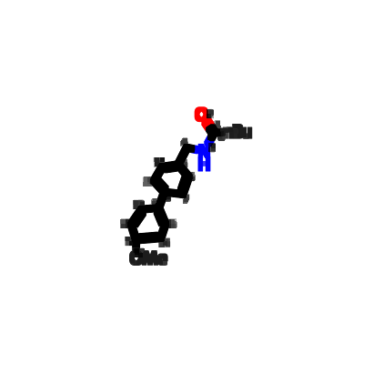 CCCCC(=O)NCc1ccc(-c2ccc(OC)cc2)cc1